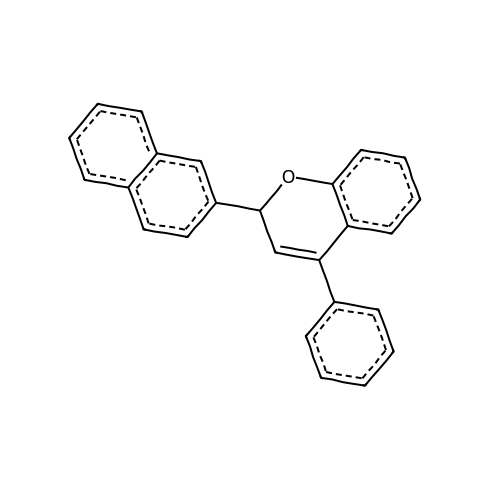 C1=C(c2ccccc2)c2ccccc2OC1c1ccc2ccccc2c1